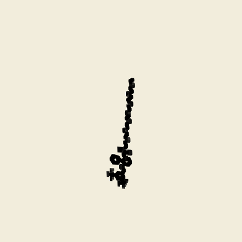 CCOCCOCCOCCOCCOCCOCCOCCNC(=O)CN1CCC[C@H](OCc2cc(C(F)(F)F)cc(C(F)(F)F)c2)[C@@H]1c1ccccc1